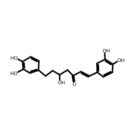 O=C(C=Cc1ccc(O)c(O)c1)CC(O)CCc1ccc(O)c(O)c1